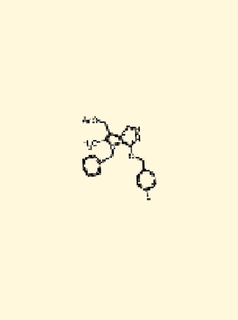 CC(=O)OCc1c(C)n(Cc2ccccc2)c2c(OCc3ccc(F)cc3)nncc12